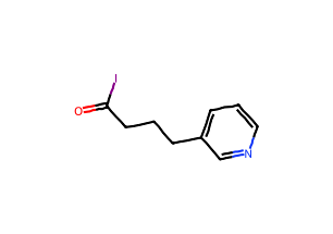 O=C(I)CCCc1cccnc1